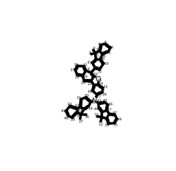 CC1(C)c2ccccc2-c2ccc(-c3c4ccccc4cc4c3oc3ccc(N(c5ccc6c(c5)C(C)(C)c5ccccc5-6)c5ccc6c(c5)C(C)(C)c5ccccc5-6)cc34)cc21